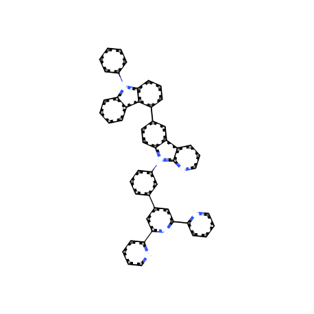 c1ccc(-n2c3ccccc3c3c(-c4ccc5c(c4)c4cccnc4n5-c4cccc(-c5cc(-c6ccccn6)nc(-c6ccccn6)c5)c4)cccc32)cc1